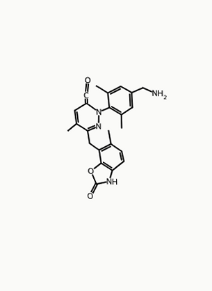 CC1=CC(=C=O)N(c2c(C)cc(CN)cc2C)N=C1Cc1c(C)ccc2[nH]c(=O)oc12